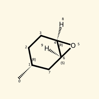 C[C@@H]1CC[C@H]2O[C@H]2C1